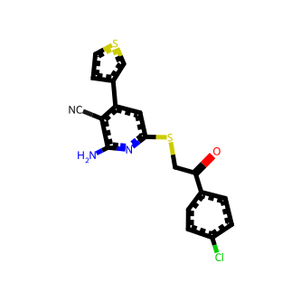 N#Cc1c(-c2ccsc2)cc(SCC(=O)c2ccc(Cl)cc2)nc1N